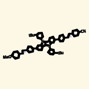 COc1ccc(/C=C/c2ccc(-c3ccc4c(c3)n(-c3cccc(C(C)(C)C)c3)c3c5ccc(-c6ccc(/C=C/c7ccc(C#N)cc7)cc6)cc5n(-c5cccc(C(C)(C)C)c5)c43)cc2)cc1